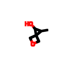 CC1C(O)C12COC2